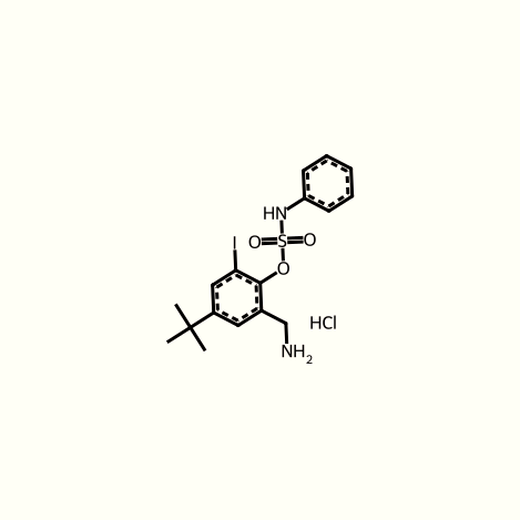 CC(C)(C)c1cc(I)c(OS(=O)(=O)Nc2ccccc2)c(CN)c1.Cl